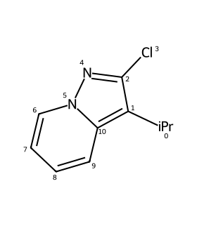 CC(C)c1c(Cl)nn2ccccc12